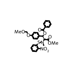 COCOc1ccc(C(OC(=O)c2ccccc2)[C@@H](C(=O)OC)N(C)Sc2ccccc2[N+](=O)[O-])cc1